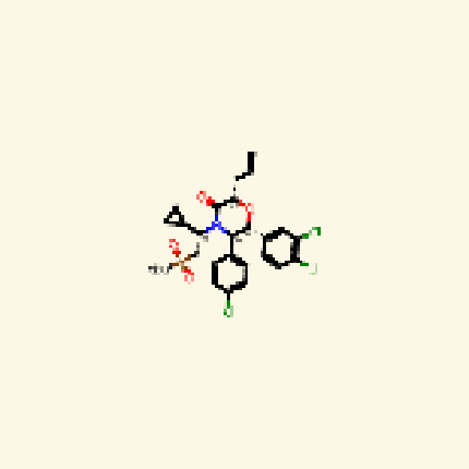 C=CC[C@@H]1O[C@H](c2ccc(Cl)c(Cl)c2)[C@@H](c2ccc(Cl)cc2)N([C@H](CS(=O)(=O)C(C)(C)C)C2CC2)C1=O